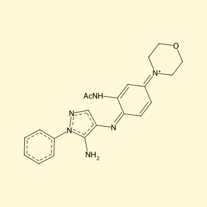 CC(=O)NC1=CC(=[N+]2CCOCC2)C=C/C1=N/c1cnn(-c2ccccc2)c1N